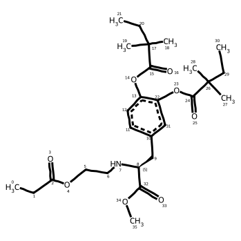 CCC(=O)OCCN[C@@H](Cc1ccc(OC(=O)C(C)(C)CC)c(OC(=O)C(C)(C)CC)c1)C(=O)OC